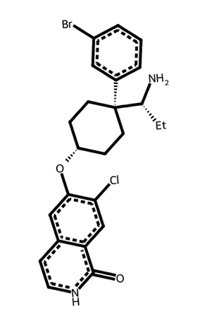 CC[C@@H](N)[C@]1(c2cccc(Br)c2)CC[C@@H](Oc2cc3cc[nH]c(=O)c3cc2Cl)CC1